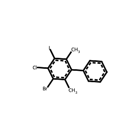 Cc1c(Br)c(Cl)c(I)c(C)c1-c1ccccc1